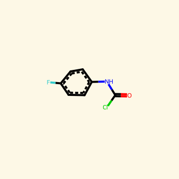 O=C(Cl)Nc1ccc(F)cc1